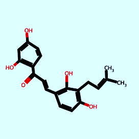 CC(C)=CCc1c(O)ccc(C=CC(=O)c2ccc(O)cc2O)c1O